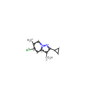 Cc1cn2nc(C3CC3)c(C(=O)O)c2cc1Br